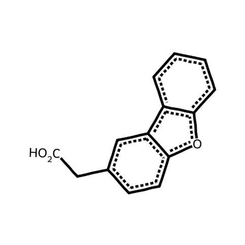 O=C(O)Cc1ccc2oc3ccccc3c2c1